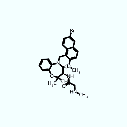 CNCC(=O)N[C@@H]1C(=O)N(Cc2c(OC)ccc3cc(Br)ccc23)c2ccccc2OC1(C)C